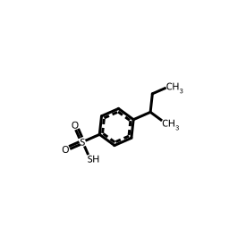 CCC(C)c1ccc(S(=O)(=O)S)cc1